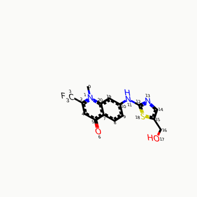 Cn1c(C(F)(F)F)cc(=O)c2ccc(Nc3ncc(CO)s3)cc21